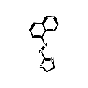 c1ccc2c(N=NC3=NCCS3)cccc2c1